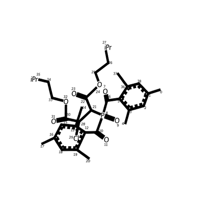 Cc1cc(C)c(C(=O)P(=O)(C(=O)c2c(C)cc(C)cc2C)C(C(=O)OCCC(C)C)C(Cl)C(=O)OCCC(C)C)c(C)c1